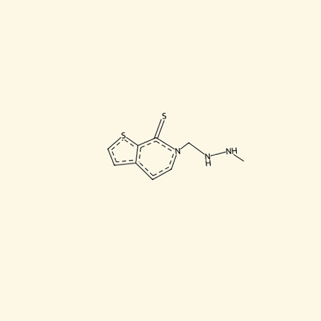 CNNCn1ccc2ccsc2c1=S